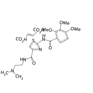 COc1ccc(C(=O)Nc2nc(C(=O)NCCN(C)C)cs2)c(OC)c1OC.O=C(O)C=CC(=O)O